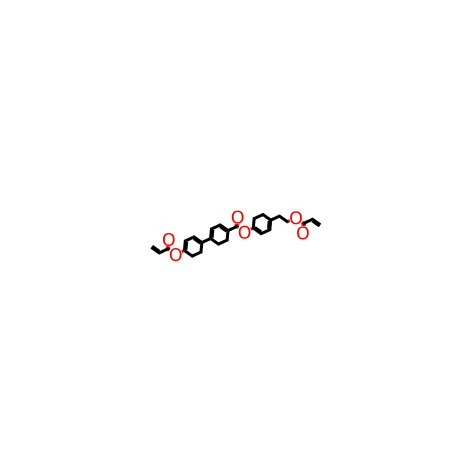 C=CC(=O)OCCC1=CC=C(OC(=O)C2=CC=C(C3=CC=C(OC(=O)C=C)CC3)CC2)CC1